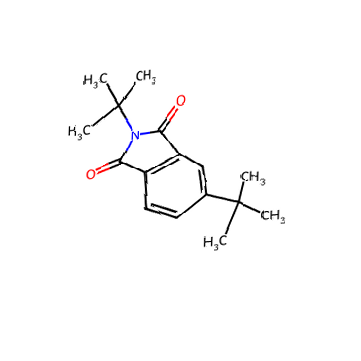 CC(C)(C)c1ccc2c(c1)C(=O)N(C(C)(C)C)C2=O